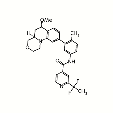 CO[C@@H]1C[C@@H]2COCCN2c2cc(-c3cc(NC(=O)c4ccnc(C(C)(F)F)c4)ccc3C)ccc21